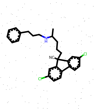 CC(CCCC1(C#N)c2cc(Cl)ccc2-c2ccc(Cl)cc21)NCCCc1ccccc1